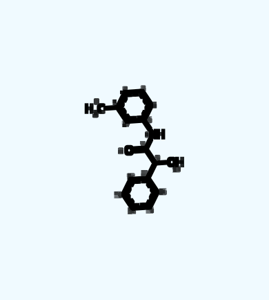 Cc1[c]ccc(NC(=O)C(O)c2ccccc2)c1